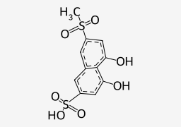 CS(=O)(=O)c1cc(O)c2c(O)cc(S(=O)(=O)O)cc2c1